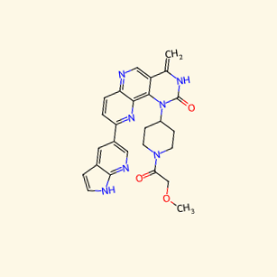 C=C1NC(=O)N(C2CCN(C(=O)COC)CC2)c2c1cnc1ccc(-c3cnc4[nH]ccc4c3)nc21